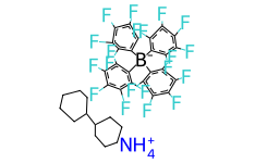 C1CCC(C2CCCCC2)CC1.Fc1c(F)c(F)c([B-](c2c(F)c(F)c(F)c(F)c2F)(c2c(F)c(F)c(F)c(F)c2F)c2c(F)c(F)c(F)c(F)c2F)c(F)c1F.[NH4+]